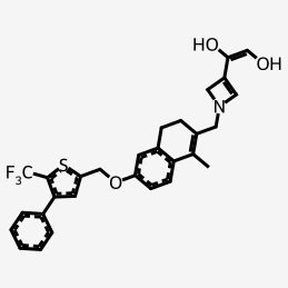 CC1=C(CN2C=C(/C(O)=C\O)C2)CCc2cc(OCc3cc(-c4ccccc4)c(C(F)(F)F)s3)ccc21